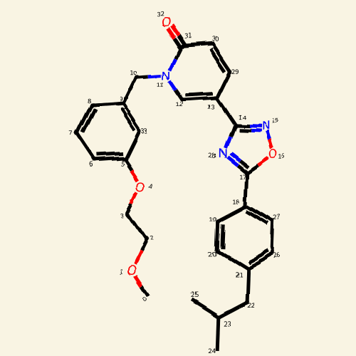 COCCOc1cccc(Cn2cc(-c3noc(-c4ccc(CC(C)C)cc4)n3)ccc2=O)c1